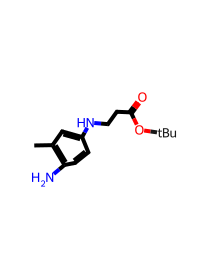 Cc1cc(NCCC(=O)OC(C)(C)C)ccc1N